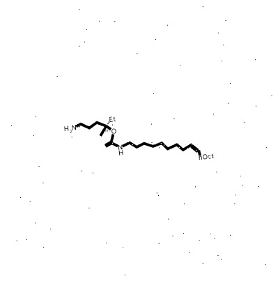 C=C(NCCCCCCCC/C=C\CCCCCCCC)O[C@](C)(CC)CCCN